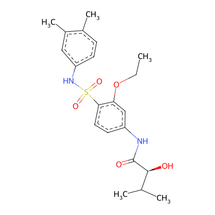 CCOc1cc(NC(=O)[C@@H](O)C(C)C)ccc1S(=O)(=O)Nc1ccc(C)c(C)c1